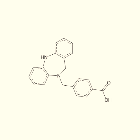 O=C(O)c1ccc(CN2Cc3ccccc3Nc3ccccc32)cc1